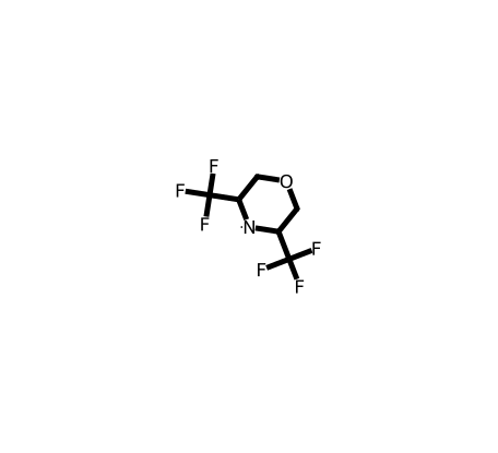 FC(F)(F)C1COCC(C(F)(F)F)[N]1